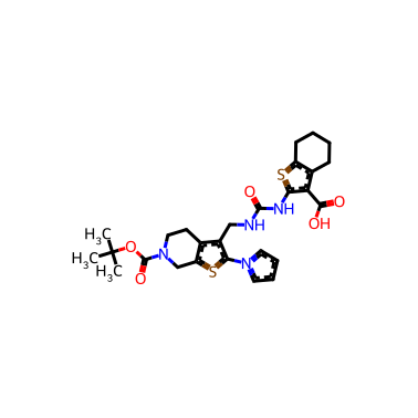 CC(C)(C)OC(=O)N1CCc2c(sc(-n3cccc3)c2CNC(=O)Nc2sc3c(c2C(=O)O)CCCC3)C1